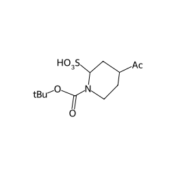 CC(=O)C1CCN(C(=O)OC(C)(C)C)C(S(=O)(=O)O)C1